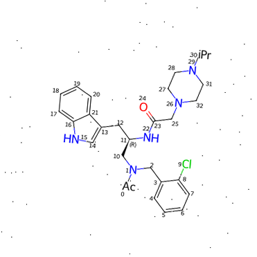 CC(=O)N(Cc1ccccc1Cl)C[C@@H](Cc1c[nH]c2ccccc12)NC(=O)CN1CCN(C(C)C)CC1